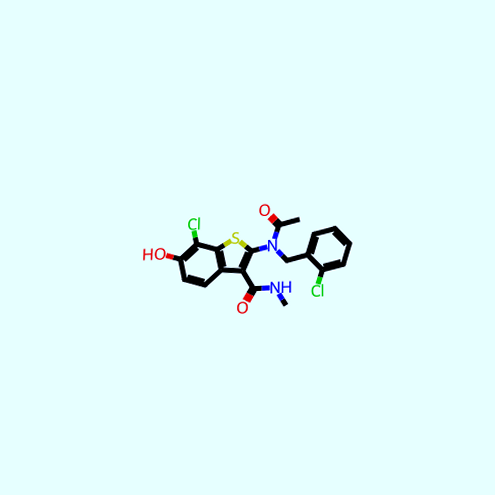 CNC(=O)c1c(N(Cc2ccccc2Cl)C(C)=O)sc2c(Cl)c(O)ccc12